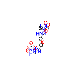 COC(=O)N[C@H](C(=O)N1C[Si](C)(C)C[C@H]1c1ncc(-c2cccc(Oc3ccc(-c4cnc([C@@H]5CCCN5C(=O)[C@@H](NC(=O)OC)C5CCOCC5)[nH]4)cc3)c2)[nH]1)C(C)C